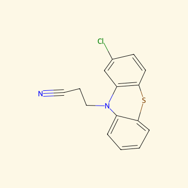 N#CCCN1c2ccccc2Sc2ccc(Cl)cc21